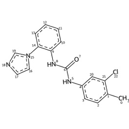 Cc1ccc(NC(=O)Nc2ccccc2-n2ccnc2)cc1Cl